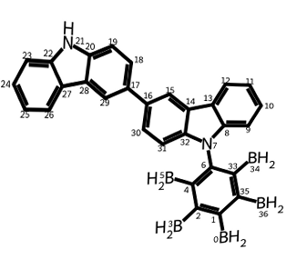 Bc1c(B)c(B)c(-n2c3ccccc3c3cc(-c4ccc5[nH]c6ccccc6c5c4)ccc32)c(B)c1B